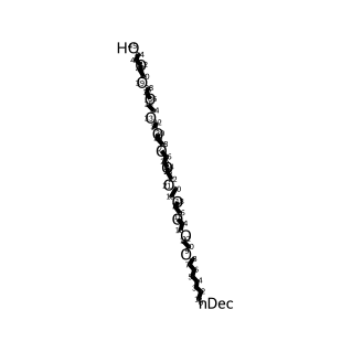 CCCCCCCCCCCCCCCCCCOCCOCCOCCOCCOCCOCCOCCOCCOCCOCCOCCOCCO